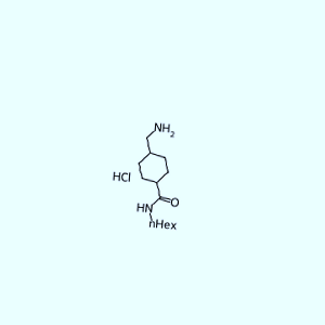 CCCCCCNC(=O)C1CCC(CN)CC1.Cl